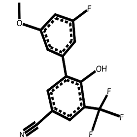 COc1cc(F)cc(-c2cc(C#N)cc(C(F)(F)F)c2O)c1